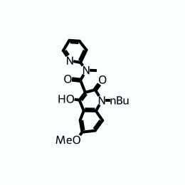 CCCCn1c(=O)c(C(=O)N(C)c2ccccn2)c(O)c2cc(OC)ccc21